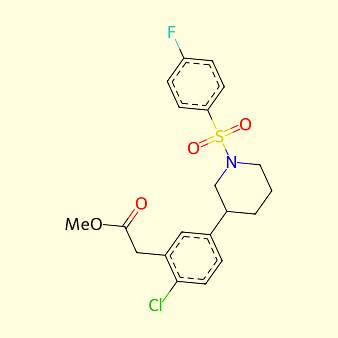 COC(=O)Cc1cc(C2CCCN(S(=O)(=O)c3ccc(F)cc3)C2)ccc1Cl